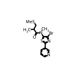 CSCC(C)C(=O)N(C)c1sc(-c2cccnc2)nc1Br